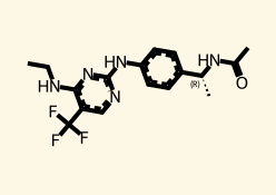 CCNc1nc(Nc2ccc([C@@H](C)NC(C)=O)cc2)ncc1C(F)(F)F